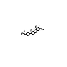 CCCc1cc2c(c(F)c1F)Oc1c(ccc(C3CCC(C=C(F)F)CC3)c1F)C2